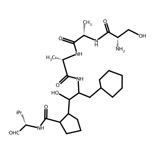 CC(C)[C@@H]([C]=O)NC(=O)C1CCCC1C(O)C(CC1CCCCC1)NC(=O)[C@H](C)NC(=O)[C@H](C)NC(=O)[C@@H](N)CO